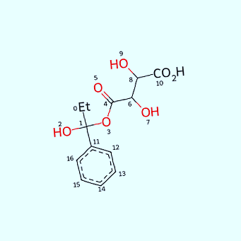 CCC(O)(OC(=O)C(O)C(O)C(=O)O)c1ccccc1